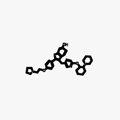 Oc1ccc2c(Cc3ccc(OC4CCCCC4N4CCCCC4)nc3)c(-c3ccc(OCCN4CCCC4)cc3)sc2c1